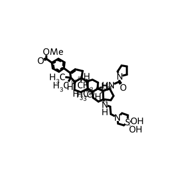 COC(=O)c1ccc(C2=CC[C@]3(C)[C@H]4CC[C@@H]5[C@H]6[C@H](NC(=O)N7CCCC7)CC[C@]6(NCCN6CCS(O)(O)CC6)CC[C@@]5(C)[C@]4(C)CC[C@H]3C2(C)C)cc1